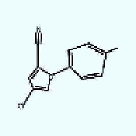 Cc1ccc(-n2cc(Cl)cc2C#N)cc1